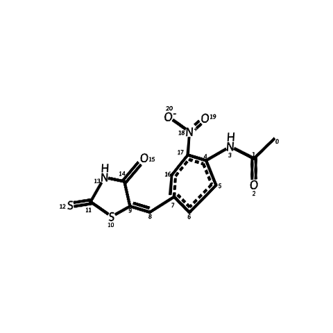 CC(=O)Nc1ccc(/C=C2/SC(=S)NC2=O)cc1[N+](=O)[O-]